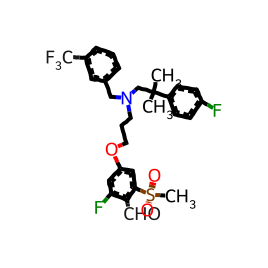 CC(C)(CN(CCCOc1cc(F)c(C=O)c(S(C)(=O)=O)c1)Cc1cccc(C(F)(F)F)c1)c1ccc(F)cc1